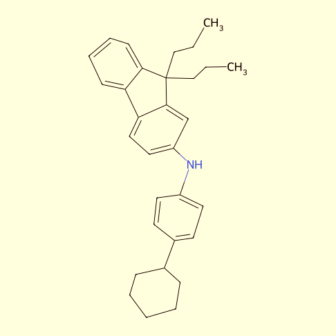 CCCC1(CCC)c2ccccc2-c2ccc(Nc3ccc(C4CCCCC4)cc3)cc21